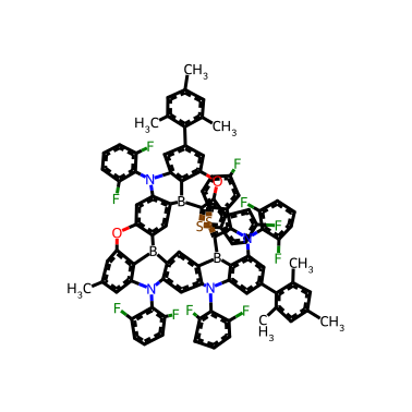 Cc1cc(C)c(-c2cc3c4c(c2)N(c2c(F)cccc2F)c2cc5c(cc2B4c2sc4ccc(F)cc4c2O3)B2c3cc4c(cc3N(c3c(F)cccc3F)c3cc(C)cc(c32)O5)N(c2c(F)cccc2F)c2cc(-c3c(C)cc(C)cc3C)cc3c2B4c2sc4ccc(F)cc4c2N3c2c(F)cccc2F)c(C)c1